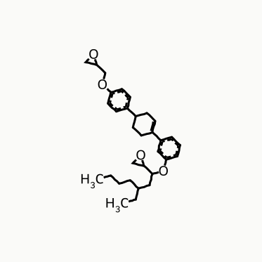 CCCCC(CC)CC(Oc1cccc(C2=CCC(c3ccc(OCC4CO4)cc3)CC2)c1)C1CO1